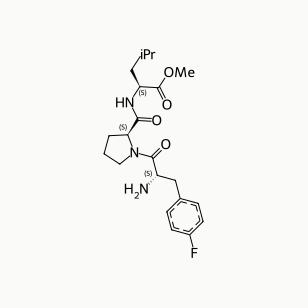 COC(=O)[C@H](CC(C)C)NC(=O)[C@@H]1CCCN1C(=O)[C@@H](N)Cc1ccc(F)cc1